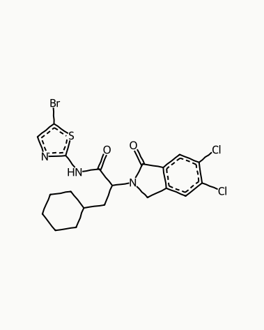 O=C(Nc1ncc(Br)s1)C(CC1CCCCC1)N1Cc2cc(Cl)c(Cl)cc2C1=O